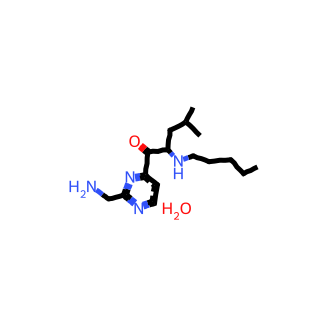 CCCCCNC(CC(C)C)C(=O)c1ccnc(CN)n1.O